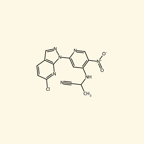 CC(C#N)Nc1cc(-n2ncc3ccc(Cl)nc32)ncc1[N+](=O)[O-]